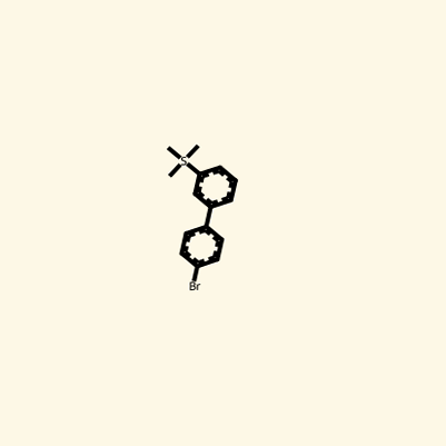 CS(C)(C)c1cccc(-c2ccc(Br)cc2)c1